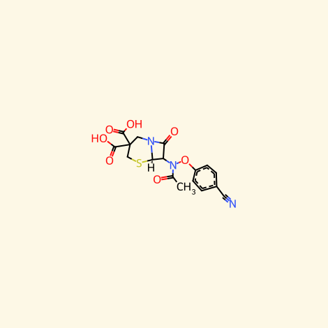 CC(=O)N(Oc1ccc(C#N)cc1)C1C(=O)N2CC(C(=O)O)(C(=O)O)CS[C@H]12